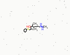 CCC(CCCCCNNC)C(O)[C@H](CC)CSC1CCCCC1